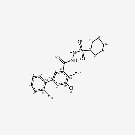 O=C(NNS(=O)(=O)C1CCCCC1)c1cc(-c2ccccc2F)cc(Cl)c1F